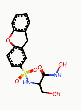 O=C(NO)C(CO)NS(=O)(=O)c1ccc2c(c1)Cc1ccccc1O2